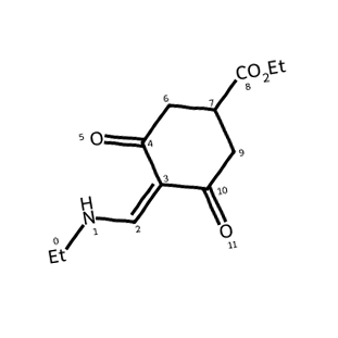 CCNC=C1C(=O)CC(C(=O)OCC)CC1=O